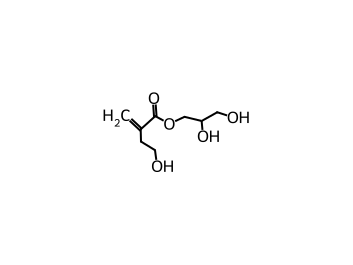 C=C(CCO)C(=O)OCC(O)CO